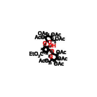 CCOC(=O)c1cc(OC2O[C@H](COC(C)=O)[C@@H](OC(C)=O)[C@H](OC(C)=O)[C@H]2OC(C)=O)c(O)c(OC2O[C@H](COC(C)=O)[C@@H](OC(C)=O)[C@H](OC(C)=O)[C@H]2OC(C)=O)c1